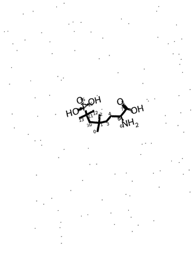 CC(C)(CC[C@H](N)C(=O)O)CC(C)(C)P(=O)(O)O